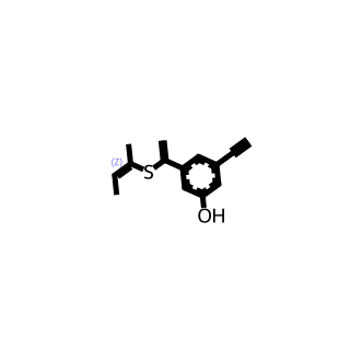 C#Cc1cc(O)cc(C(=C)S/C(C)=C\C)c1